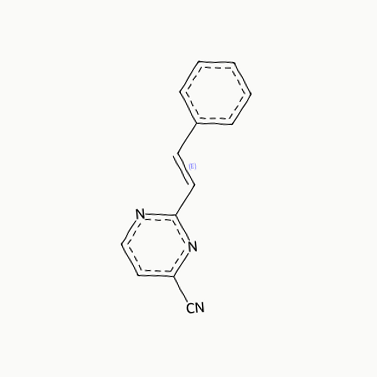 N#Cc1ccnc(/C=C/c2ccccc2)n1